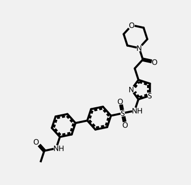 CC(=O)Nc1cccc(-c2ccc(S(=O)(=O)Nc3nc(CC(=O)N4CCOCC4)cs3)cc2)c1